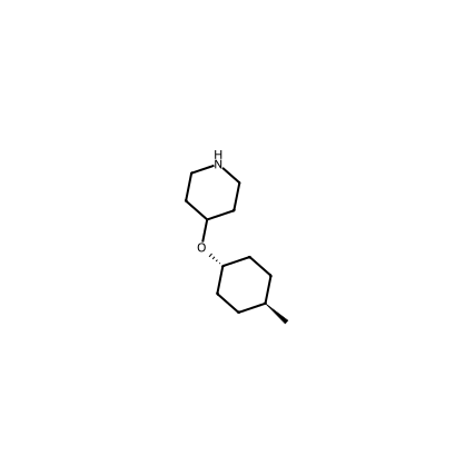 C[C@H]1CC[C@H](OC2CCNCC2)CC1